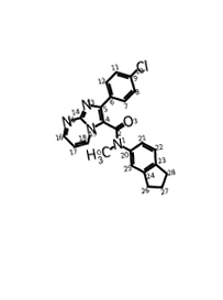 CN(C(=O)c1c(-c2ccc(Cl)cc2)nc2ncccn12)c1ccc2c(c1)CCC2